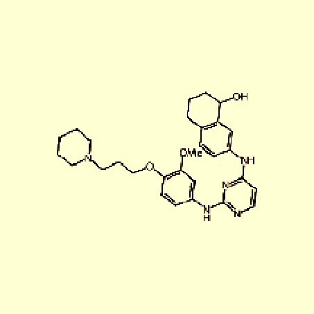 COc1cc(Nc2nccc(Nc3ccc4c(c3)C(O)CCC4)n2)ccc1OCCCN1CCCCC1